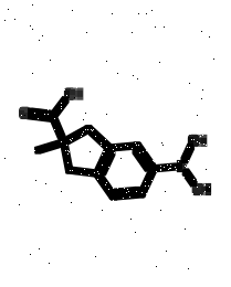 CC1(C(=O)O)Cc2ccc(B(O)O)cc2C1